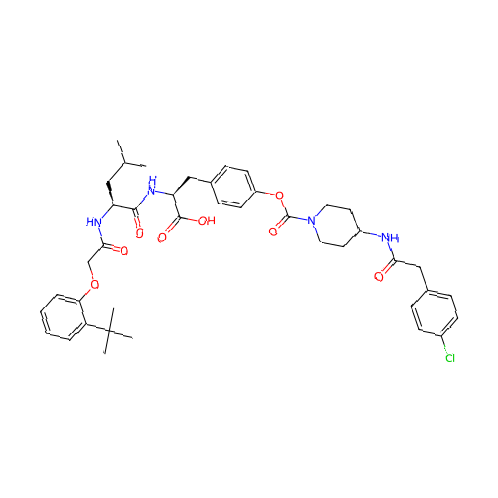 CC(C)C[C@H](NC(=O)COc1ccccc1C(C)(C)C)C(=O)N[C@@H](Cc1ccc(OC(=O)N2CCC(NC(=O)Cc3ccc(Cl)cc3)CC2)cc1)C(=O)O